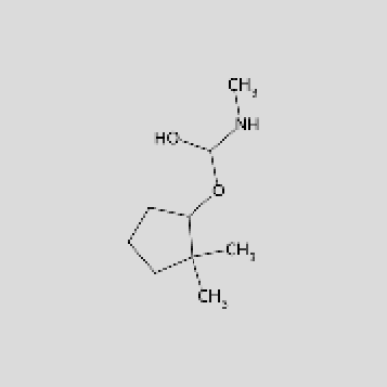 CNC(O)OC1CCCC1(C)C